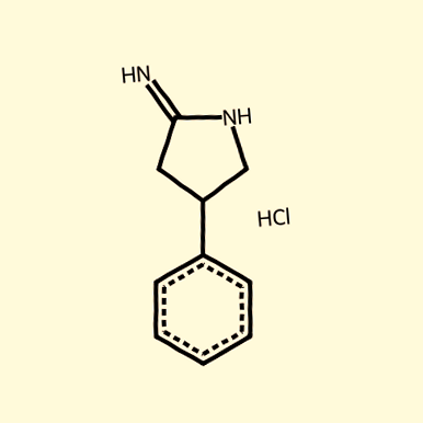 Cl.N=C1CC(c2ccccc2)CN1